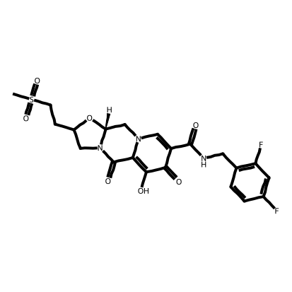 CS(=O)(=O)CCC1CN2C(=O)c3c(O)c(=O)c(C(=O)NCc4ccc(F)cc4F)cn3C[C@H]2O1